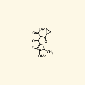 COC(=O)C(C(=O)c1sc(C)c(OC)c1F)C(=O)C1CC1